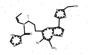 C/C=C\N(C(=O)c1nnc[nH]1)[C@H](C)CCc1nc2c(-c3cnc(CO)s3)cnn2c(N)c1C(C)=O